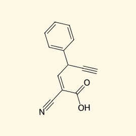 C#CC(C=C(C#N)C(=O)O)c1ccccc1